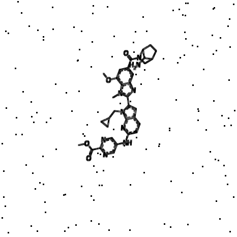 COC(=O)c1ncc(Nc2ccc3cc(-c4nc5cc(C(=O)N6CC7CCC6C7N)cc(OC)c5n4C)n(CC4CC4)c3n2)cn1